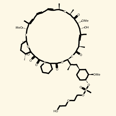 CO[C@H]1C[C@@H]2CC[C@@H](C)C(O)(O2)C(=O)C(=O)N2CCCCC2C(=O)O[C@H]([C@H](C)C[C@@H]2CC[C@@H](OP(C)(=O)OCCOCCO)[C@H](OC)C2)CC(=O)[C@H](C)/C=C(\C)[C@@H](O)[C@@H](OC)C(=O)[C@H](C)C[C@H](C)/C=C/C=C/C=C/1C